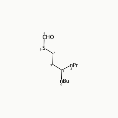 CCCCC(CCC)CCSC=O